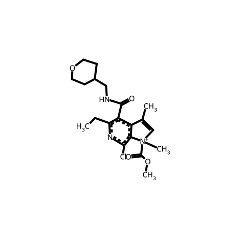 CCc1nc(Cl)c2c(c1C(=O)NCC1CCOCC1)C(C)=C[N+]2(C)C(=O)OC